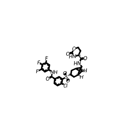 C[C@H]1CC2C[C@@H](S(=O)(=O)c3cc(C(=O)Nc4cc(F)c(F)c(F)c4)ccc3Cl)C[C@H]1[C@@]2(O)CNC(=O)[C@@H]1CCOC(=O)N1